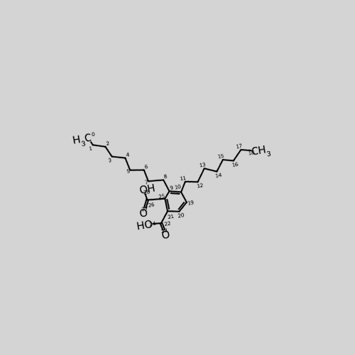 CCCCCCCCCc1c(CCCCCCCC)ccc(C(=O)O)c1C(=O)O